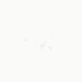 CSC(=O)N[C@@H]1CC/C=C/CCC1N